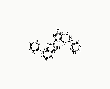 c1cncc(-c2cccc3[nH]c(-c4n[nH]c5cnc(-c6cncnc6)cc45)nc23)c1